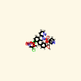 COc1ccc([C@H](Cc2c(Cl)c[n+]([O-])cc2Cl)c2c(CN(C(=O)O[C@H]3CN4CCC3CC4)c3ccccn3)cccc2C(=O)O)cc1OC